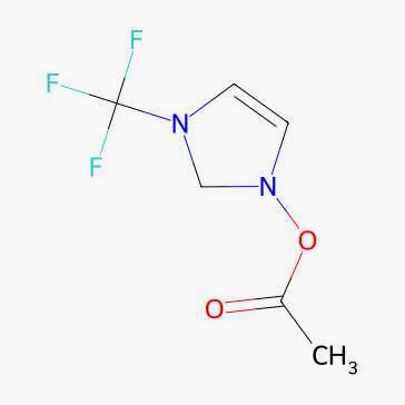 CC(=O)ON1C=CN(C(F)(F)F)C1